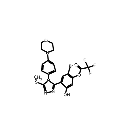 CSc1nnc(-c2cc(Br)c(OC(=O)C(F)(F)F)cc2O)n1-c1ccc(N2CCOCC2)cc1